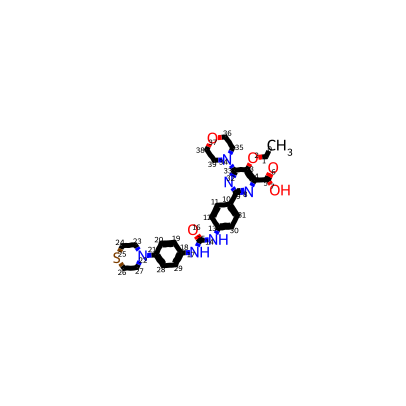 CCOc1c(C(=O)O)nc(-c2ccc(NC(=O)Nc3ccc(N4CCSCC4)cc3)cc2)nc1N1CCOCC1